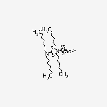 CCCCCCCN(CCCCCCC)C(=S)[S-].CCCCCCCN(CCCCCCC)C(=S)[S-].[S]=[Mo+2]